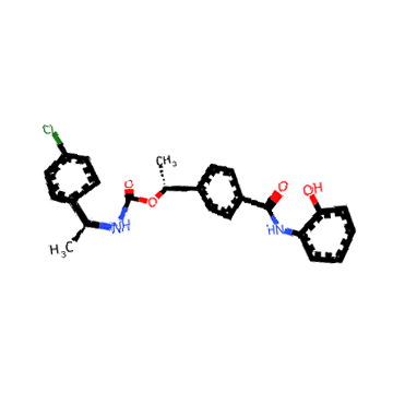 C[C@H](NC(=O)O[C@H](C)c1ccc(C(=O)Nc2ccccc2O)cc1)c1ccc(Cl)cc1